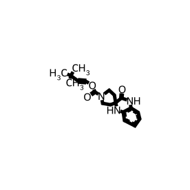 CC(C)(C)C#COC(=O)N1CCC2(CC1)Nc1ccccc1NC2=O